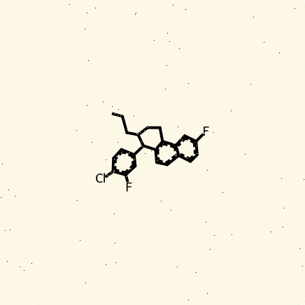 CCCC1CCc2c(ccc3ccc(F)cc23)C1c1ccc(Cl)c(F)c1